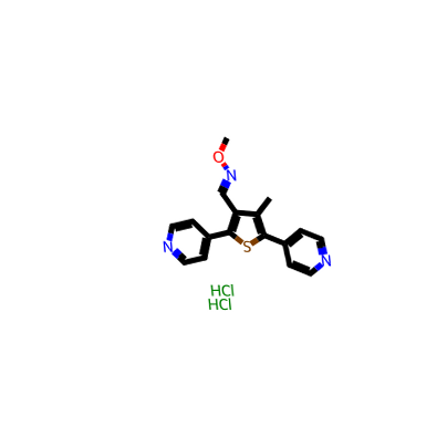 CON=Cc1c(-c2ccncc2)sc(-c2ccncc2)c1C.Cl.Cl